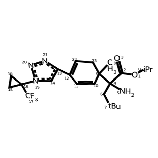 CC(C)OC(=O)C(N)(CC(C)(C)C)C1(C)C=CC(c2cn(C3(C(F)(F)F)CC3)nn2)=CC1